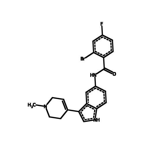 CN1CC=C(c2c[nH]c3ccc(NC(=O)c4ccc(F)cc4Br)cc23)CC1